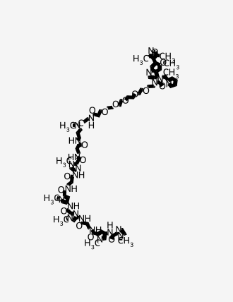 COc1cc2c(cc1-c1c(C)noc1C)ncc1c2n([C@H](C)c2ccccn2)c(=O)n1CCOCCOCCOCCOCCOCCC(=O)NCCCN(C)CCCNC(=O)CCNC(=O)c1nc(NC(=O)CCNC(=O)c2cc(NC(=O)c3nc(NC(=O)CCNC(=O)c4cc(NC(=O)c5nccn5C)cn4C)cn3C)cn2C)cn1C